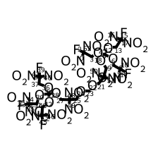 O=[N+]([O-])C(F)(COC(OCC(F)([N+](=O)[O-])[N+](=O)[O-])(OCC(F)([N+](=O)[O-])[N+](=O)[O-])OCC(COCOCC(COC(OCC(F)([N+](=O)[O-])[N+](=O)[O-])(OCC(F)([N+](=O)[O-])[N+](=O)[O-])OCC(F)([N+](=O)[O-])[N+](=O)[O-])([N+](=O)[O-])[N+](=O)[O-])([N+](=O)[O-])[N+](=O)[O-])[N+](=O)[O-]